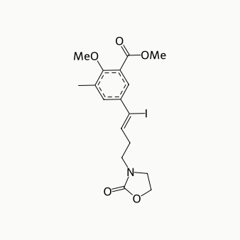 COC(=O)c1cc(C(I)=CCCN2CCOC2=O)cc(C)c1OC